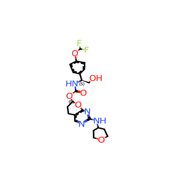 O=C(N[C@H](CO)c1ccc(OC(F)F)cc1)O[C@@H]1CCc2cnc(NC3CCOCC3)nc2O1